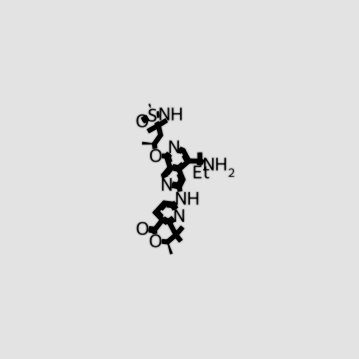 CCC(C)(N)c1cnc(O[C@@H](C)CC(C)(C)[S@](C)(=N)=O)c2cnc(Nc3ccc4c(n3)C(C)(C)[C@@H](C)OC4=O)cc12